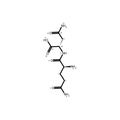 NC(=O)CC[C@H](N)C(=O)N[C@@H](CC(N)=O)C(=O)O